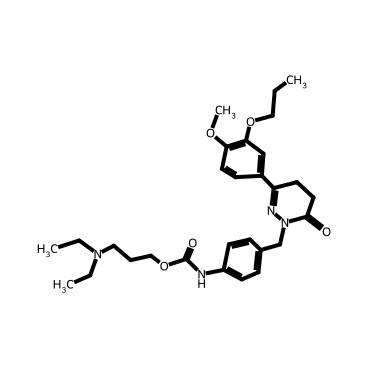 CCCOc1cc(C2=NN(Cc3ccc(NC(=O)OCCCN(CC)CC)cc3)C(=O)CC2)ccc1OC